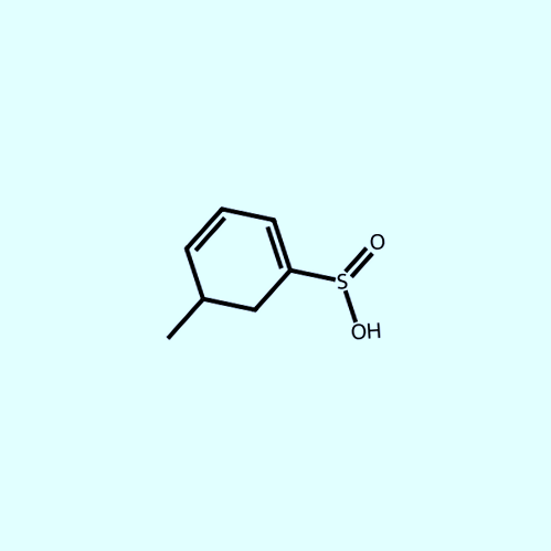 CC1C=CC=C(S(=O)O)C1